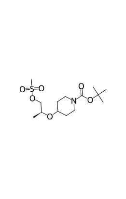 C[C@@H](COS(C)(=O)=O)OC1CCN(C(=O)OC(C)(C)C)CC1